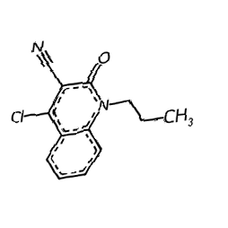 CCCn1c(=O)c(C#N)c(Cl)c2ccccc21